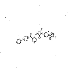 O=C(c1cnccc1CN1CC(=O)N(c2ccc(S(=O)(=O)C(F)(F)F)cc2)C1=O)N1CCN(c2ccccc2)CC1